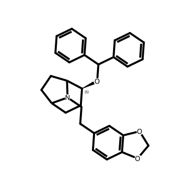 c1ccc(C(O[C@H]2CCC3CCC2N3CCc2ccc3c(c2)OCO3)c2ccccc2)cc1